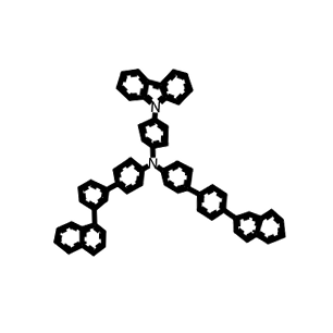 c1cc(-c2ccc(N(c3ccc(-c4ccc(-c5ccc6ccccc6c5)cc4)cc3)c3ccc(-n4c5ccccc5c5ccccc54)cc3)cc2)cc(-c2cccc3ccccc23)c1